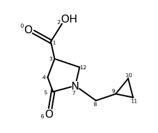 O=C(O)C1CC(=O)N(CC2CC2)C1